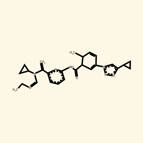 C=C(c1cccc(NC(=O)C2C=C(n3cc(C4CC4)nn3)C=CC2C)n1)N(/C=N\CC)C1CC1